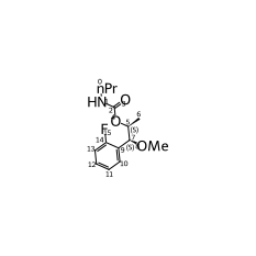 CCCNC(=O)O[C@@H](C)[C@@H](OC)c1ccccc1F